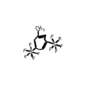 Cc1cc(S(F)(F)(F)(F)F)cc(S(F)(F)(F)(F)F)c1